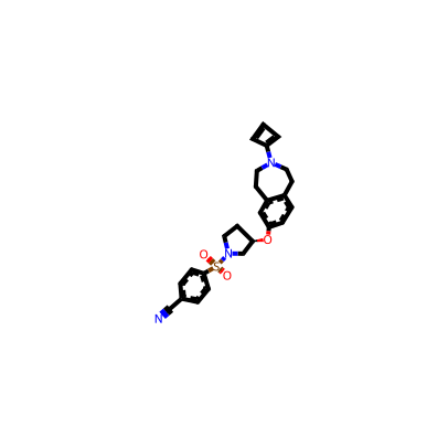 N#Cc1ccc(S(=O)(=O)N2CC[C@@H](Oc3ccc4c(c3)CCN(C3=CC=C3)CC4)C2)cc1